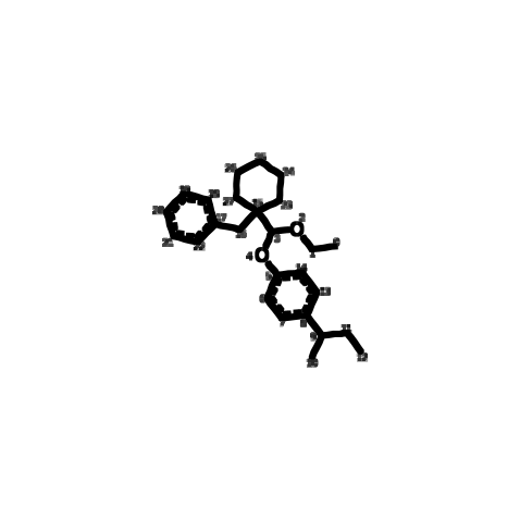 CCOC(Oc1ccc(C(C)CC)cc1)C1(Cc2ccccc2)CCCCC1